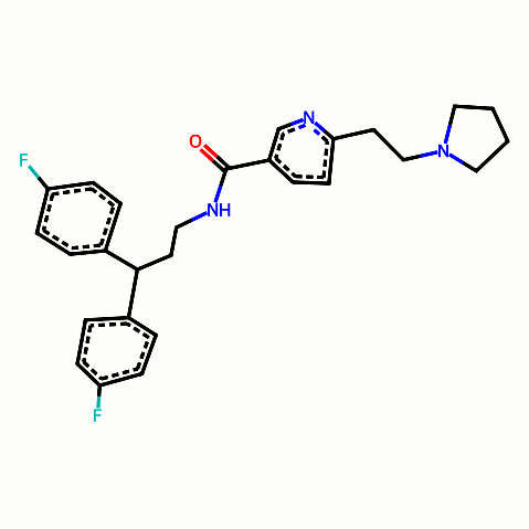 O=C(NCCC(c1ccc(F)cc1)c1ccc(F)cc1)c1ccc(CCN2CCCC2)nc1